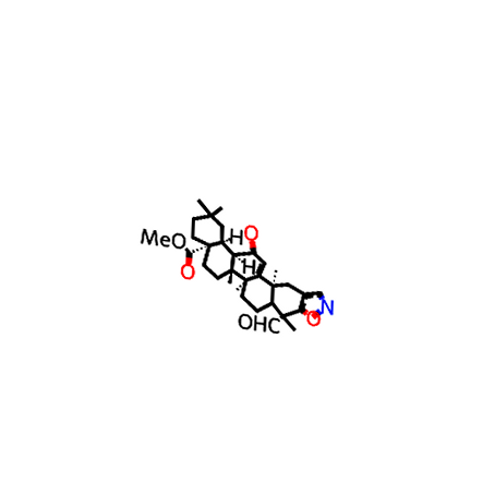 COC(=O)[C@]12CCC(C)(C)C[C@H]1[C@H]1C(=O)C=C3[C@@]4(C)Cc5cnoc5[C@@](C)(C=O)C4CC[C@@]3(C)[C@]1(C)CC2